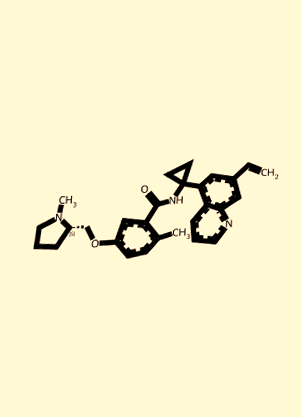 C=Cc1cc(C2(NC(=O)c3cc(OC[C@@H]4CCCN4C)ccc3C)CC2)c2cccnc2c1